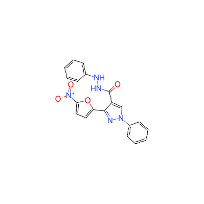 O=C(NNc1ccccc1)c1cn(-c2ccccc2)nc1-c1ccc([N+](=O)[O-])o1